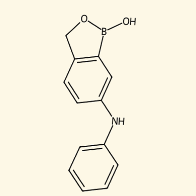 OB1OCc2ccc(Nc3ccccc3)cc21